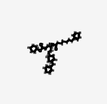 O=C(CCCCCCc1ccccc1)NC(CCC(=O)OC1CCCCC1)CSc1ccc(Cc2ccccc2)cc1